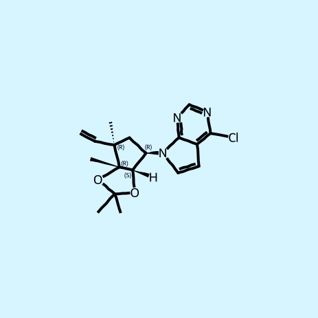 C=C[C@@]1(C)C[C@@H](n2ccc3c(Cl)ncnc32)[C@@H]2OC(C)(C)O[C@@]21C